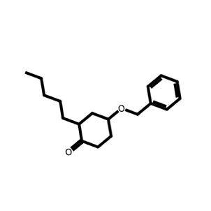 CCCCCC1CC(OCc2ccccc2)CCC1=O